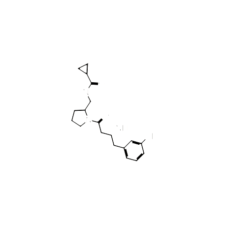 N[C@@H](CC(=O)N1CCCC1CNC(=O)C1CC1)Cc1cccc(Cl)c1